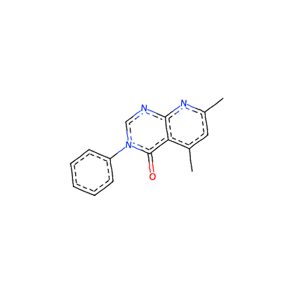 Cc1cc(C)c2c(=O)n(-c3ccccc3)cnc2n1